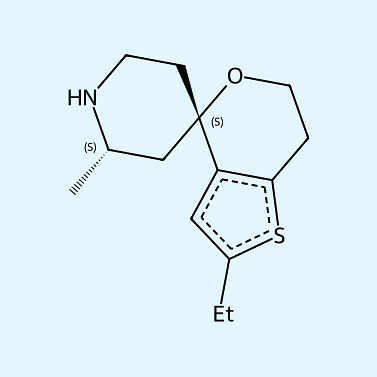 CCc1cc2c(s1)CCO[C@]21CCN[C@@H](C)C1